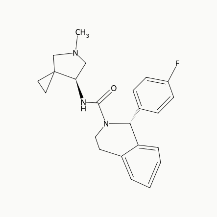 CN1C[C@@H](NC(=O)N2CCc3ccccc3[C@H]2c2ccc(F)cc2)C2(CC2)C1